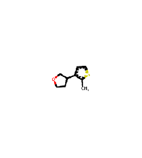 Cc1sccc1C1CCOC1